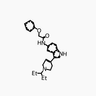 CCC(CC)N1CC=C(c2c[nH]c3ccc(NC(=O)COc4ccccc4)cc23)CC1